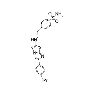 CC(C)c1ccc(-c2cn3nc(NCCc4ccc(S(N)(=O)=O)cc4)sc3n2)cc1